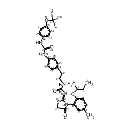 CCC(C)Oc1ccc(C)cc1N1C(=O)CS/C1=N\C(=O)NCCc1ccc(NC(=O)Nc2ccc(OC(F)(F)F)cc2)cc1